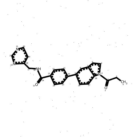 CCC(=O)n1ccc2cc(-c3ccc(C(=O)NCc4ccncn4)cc3)ccc21